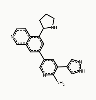 Nc1ncc(-c2cc(C3CCCN3)c3ccncc3c2)cc1-c1cn[nH]c1